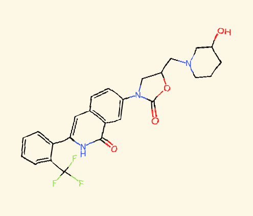 O=C1OC(CN2CCCC(O)C2)CN1c1ccc2cc(-c3ccccc3C(F)(F)F)[nH]c(=O)c2c1